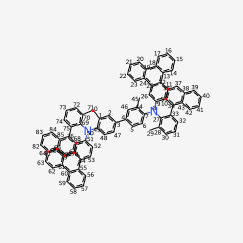 Cc1cc(-c2ccc(N(c3ccc4c5ccccc5c5ccccc5c4c3)c3c(C)cccc3-c3cccc4ccccc34)c(C)c2)ccc1N(c1ccc2c3ccccc3c3ccccc3c2c1)c1c(C)cccc1-c1cccc2ccccc12